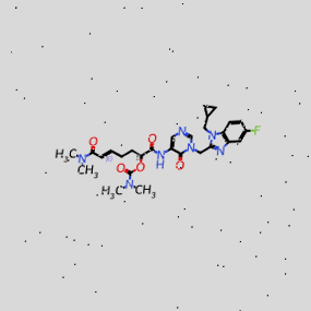 CN(C)C(=O)/C=C/CC[C@H](OC(=O)N(C)C)C(=O)Nc1cncn(Cc2nc3cc(F)ccc3n2CC2CC2)c1=O